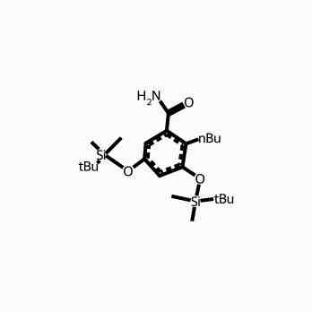 CCCCc1c(O[Si](C)(C)C(C)(C)C)cc(O[Si](C)(C)C(C)(C)C)cc1C(N)=O